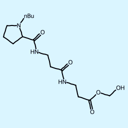 CCCCN1CCCC1C(=O)NCCC(=O)NCCC(=O)OCO